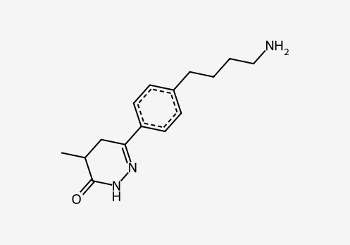 CC1CC(c2ccc(CCCCN)cc2)=NNC1=O